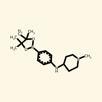 CN1CCC(Nc2ccc(B3OC(C)(C)C(C)(C)O3)cc2)CC1